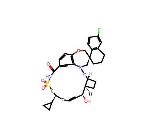 O=C1NS(=O)(=O)C[C@H](C2CC2)C/C=C/[C@H](O)[C@@H]2CC[C@H]2CN2C[C@@]3(CCCc4cc(Cl)ccc43)COc3ccc1cc32